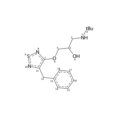 CC(C)(C)NCC(O)COc1nsnc1Cc1ccccc1